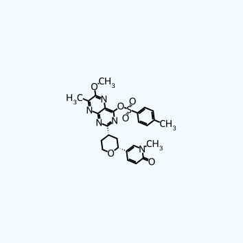 COc1nc2c(OS(=O)(=O)c3ccc(C)cc3)nc([C@H]3CCO[C@@H](c4ccc(=O)n(C)c4)C3)nc2nc1C